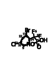 O=P(O)(O)C(F)(F)c1ccc(Cl)cc1Br